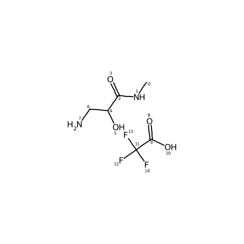 CNC(=O)C(O)CN.O=C(O)C(F)(F)F